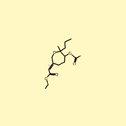 CCCC1(C)OC/C(=C/C(=O)OCC)CCC1OC(C)=O